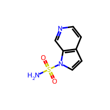 NS(=O)(=O)n1ccc2ccncc21